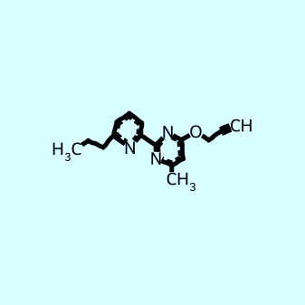 C#CCOc1cc(C)nc(-c2cccc(CCC)n2)n1